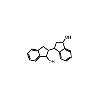 OC1CC(C2Cc3ccccc3C2O)c2ccccc21